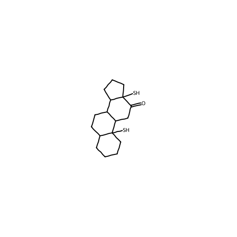 O=C1CC2C(CCC3CCCCC32S)C2CCCC12S